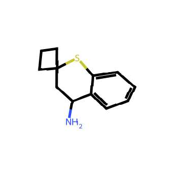 NC1CC2(CCC2)Sc2ccccc21